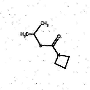 CC(C)SC(=O)N1CCC1